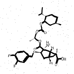 CC(C)[C@@H]1CC[C@@H](C)CC1OC(=O)O[C@@H](C)OC(=O)[C@@]1(N)[C@H]2[C@@H](C[C@H]1OCc1ccc(F)c(F)c1)[C@]2(F)C(=O)O